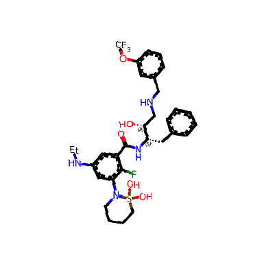 CCNc1cc(C(=O)N[C@@H](Cc2ccccc2)[C@H](O)CNCc2cccc(OC(F)(F)F)c2)c(F)c(N2CCCCS2(O)O)c1